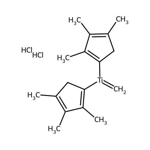 Cl.Cl.[CH2]=[Ti]([C]1=C(C)C(C)=C(C)C1)[C]1=C(C)C(C)=C(C)C1